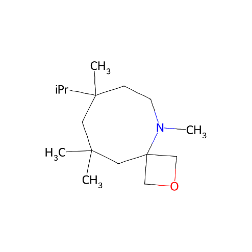 CC(C)C1(C)CCN(C)C2(COC2)CC(C)(C)C1